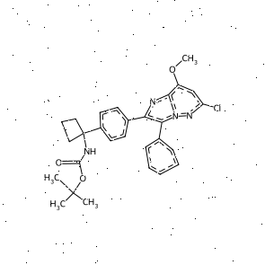 COc1cc(Cl)nn2c(-c3ccccc3)c(-c3ccc(C4(NC(=O)OC(C)(C)C)CCC4)cc3)nc12